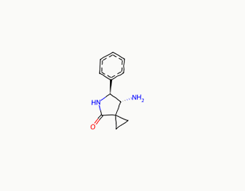 N[C@H]1[C@H](c2ccccc2)NC(=O)C12CC2